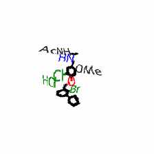 COc1cc(OCc2cccc(-c3ccccc3)c2Br)c(Cl)cc1CNC(C)NC(C)=O.Cl